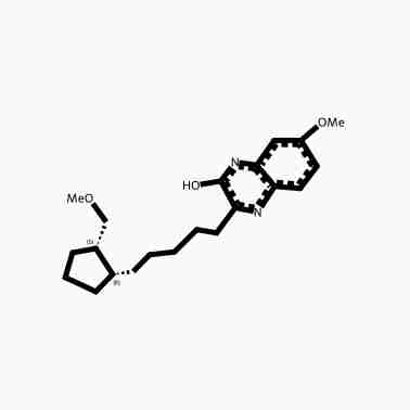 COC[C@H]1CCC[C@H]1CCCCCc1nc2ccc(OC)cc2nc1O